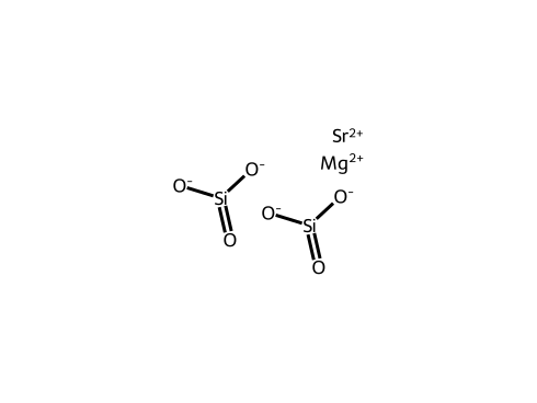 O=[Si]([O-])[O-].O=[Si]([O-])[O-].[Mg+2].[Sr+2]